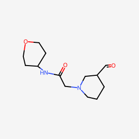 O=CC1CCCN(CC(=O)NC2CCOCC2)C1